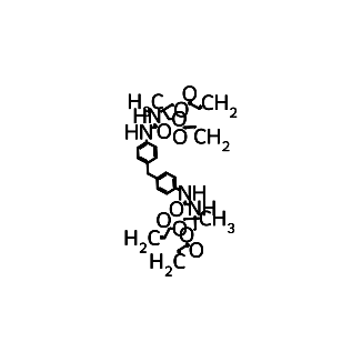 C=CC(=O)OCC(C)(COC(=O)C=C)NC(=O)Nc1ccc(Cc2ccc(NC(=O)NC(C)(COC(=O)C=C)COC(=O)C=C)cc2)cc1